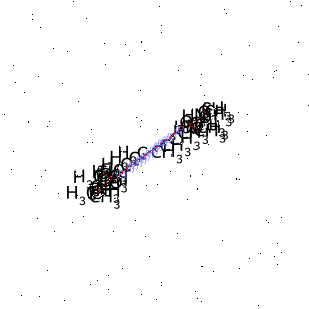 CC(/C=C/C=C(C)/C=C/C=C(\C)CC/C=C(\C)COC(=O)C(CCCCNC(=O)OC(C)(C)C)NC(=O)OC(C)(C)C)=C\C=C\C=C(C)\C=C\C=C(C)\C=C\C=C(/C)CC/C=C(\C)COC(=O)C(CCCCNC(=O)OC(C)(C)C)NC(=O)OC(C)(C)C